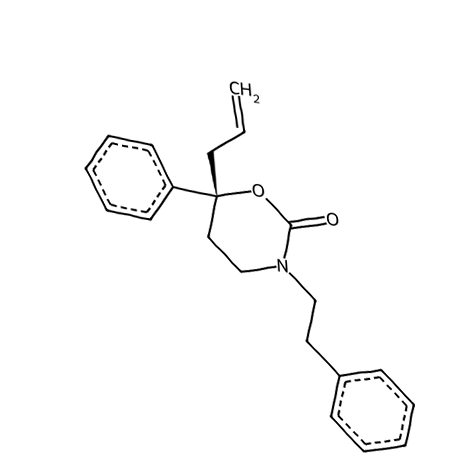 C=CC[C@]1(c2ccccc2)CCN(CCc2ccccc2)C(=O)O1